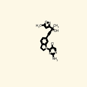 Cc1cc([C@](C)(O)C#Cc2ccc3c(c2)N(c2nc(N)ncc2Cl)CC3)no1